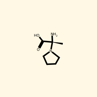 C[C@](N)(C(=O)O)N1CCCC1